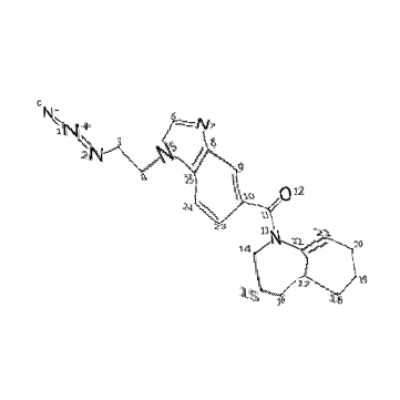 [N-]=[N+]=NCCn1cnc2cc(C(=O)N3CCCC4CCCC=C43)ccc21